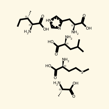 CC(C)C[C@H](N)C(=O)O.CC[C@H](C)[C@H](N)C(=O)O.CSCC[C@H](N)C(=O)O.C[C@H](N)C(=O)O.N[C@@H](Cc1c[nH]cn1)C(=O)O